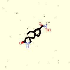 CCN(O)C(=O)c1ccc2c(c1)CC[C@@]1(CNC(=O)C1)C2